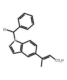 CCC(c1ccccc1)n1ccc2cc(C(C)=CC(=O)O)ccc21